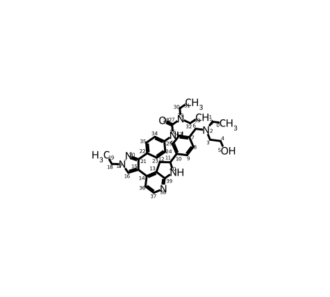 CCN(CCO)Cc1ccc(C2Cc3c(-c4cn(CC)nc4-c4ccc(NC(=O)N(CC)CC)cc4)ccnc3N2)cc1